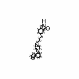 O=C1NCc2ccc(CCCCN3CCN(c4cccc5c4CCO5)CC3)cc21